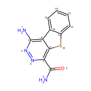 NC(=O)c1nnc(N)c2c1sc1ccccc12